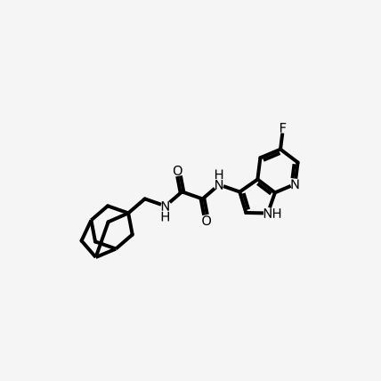 O=C(NCC12CC3CC(C1)C(C3)C2)C(=O)Nc1c[nH]c2ncc(F)cc12